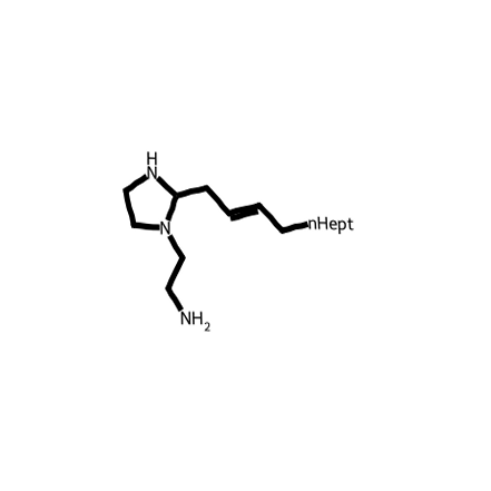 CCCCCCCCC=CCC1NCCN1CCN